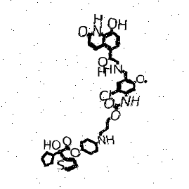 COc1cc(NC(=O)OCCCN[C@H]2CC[C@H](OC(=O)[C@](O)(c3cccs3)C3CCCC3)CC2)c(Cl)cc1CNC[C@H](O)c1ccc(O)c2[nH]c(=O)ccc12